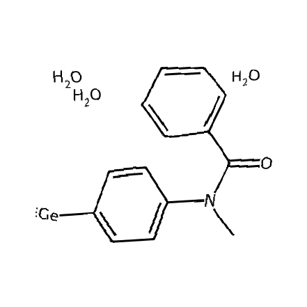 CN(C(=O)c1ccccc1)c1cc[c]([Ge])cc1.O.O.O